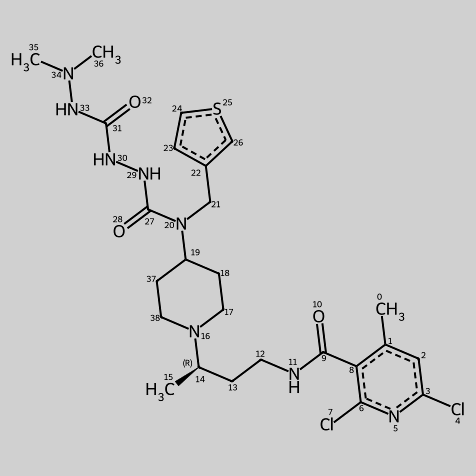 Cc1cc(Cl)nc(Cl)c1C(=O)NCC[C@@H](C)N1CCC(N(Cc2ccsc2)C(=O)NNC(=O)NN(C)C)CC1